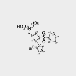 CC(C)(C)CN(Cc1cc(-c2cscc2Br)n(S(=O)(=O)c2cccnc2)c1)C(=O)O